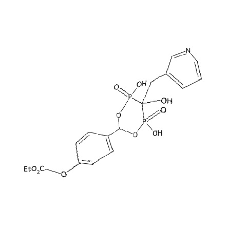 CCOC(=O)Oc1ccc(C2OP(=O)(O)C(O)(Cc3cccnc3)P(=O)(O)O2)cc1